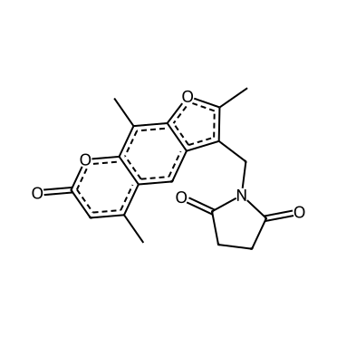 Cc1oc2c(C)c3oc(=O)cc(C)c3cc2c1CN1C(=O)CCC1=O